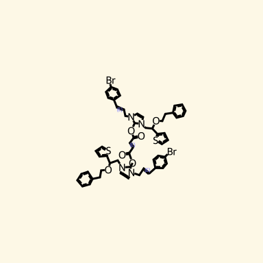 O=C(/C=C/C(=O)OC1N(C/C=C/c2ccc(Br)cc2)C=CN1CC(OCCc1ccccc1)c1cccs1)OC1N(C/C=C/c2ccc(Br)cc2)C=CN1CC(OCCc1ccccc1)c1cccs1